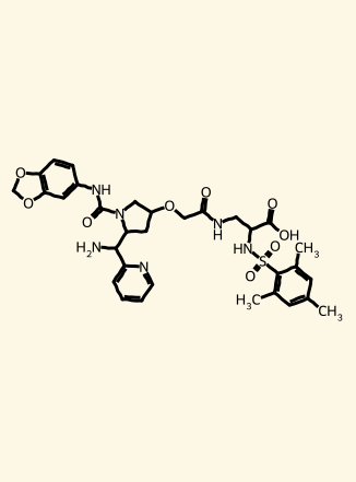 Cc1cc(C)c(S(=O)(=O)NC(CNC(=O)COC2CC(C(N)c3ccccn3)N(C(=O)Nc3ccc4c(c3)OCO4)C2)C(=O)O)c(C)c1